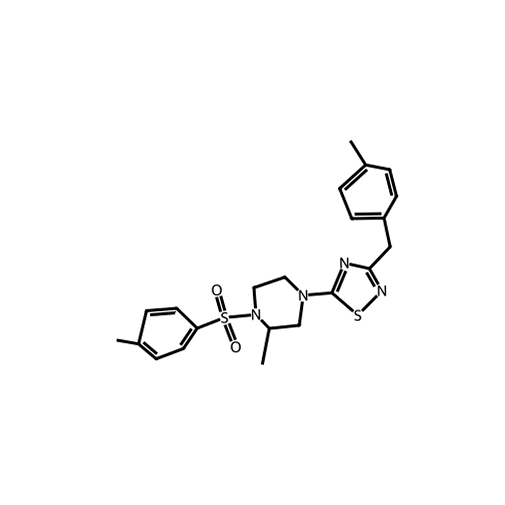 Cc1ccc(Cc2nsc(N3CCN(S(=O)(=O)c4ccc(C)cc4)C(C)C3)n2)cc1